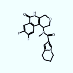 CN(C(=O)c1cc2n(c1)CCCC2)C1COCc2[nH]c(=O)c3cc(F)c(F)cc3c21